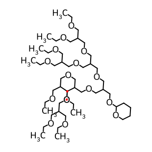 CCOCC(COCC)COCC(COCC(COCC)COCC)COCC(COCC(COCC(COCC)COCC)COCC(COCC)COCC)COC1CCCCO1